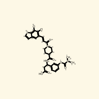 CN(C)C(=O)Oc1cccc(C(CC(=O)O)NC(=O)C2CCN(C(=O)C=Cc3cc4ccsc4c(Cl)c3Cl)CC2)c1